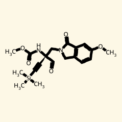 COC(=O)N[C@@](C#C[Si](C)(C)C)(C=O)CN1Cc2ccc(OC)cc2C1=O